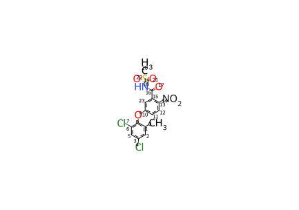 Cc1cc(Cl)cc(Cl)c1Oc1ccc([N+](=O)[O-])c(C(=O)NS(C)(=O)=O)c1